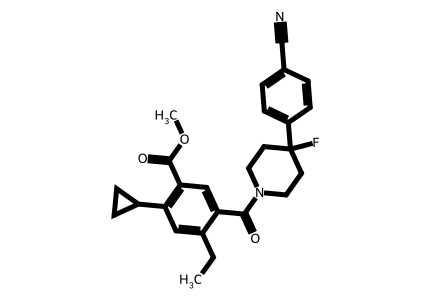 CCc1cc(C2CC2)c(C(=O)OC)cc1C(=O)N1CCC(F)(c2ccc(C#N)cc2)CC1